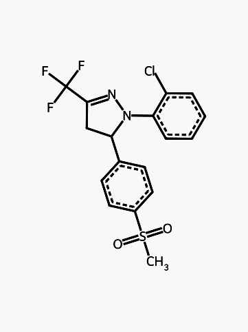 CS(=O)(=O)c1ccc(C2CC(C(F)(F)F)=NN2c2ccccc2Cl)cc1